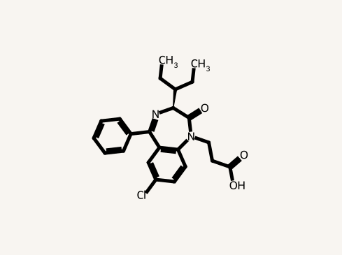 CCC(CC)[C@@H]1N=C(c2ccccc2)c2cc(Cl)ccc2N(CCC(=O)O)C1=O